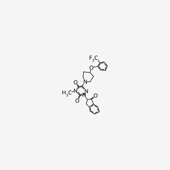 Cn1c(=O)c(N2CCC(Oc3ccccc3C(F)(F)F)CC2)nn(C2Cc3ccccc3C2=O)c1=O